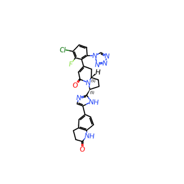 O=C1CCc2cc(-c3cnc([C@@H]4CC[C@H]5CC(c6c(-n7cnnn7)ccc(Cl)c6F)=CC(=O)N54)[nH]3)ccc2N1